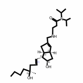 CCCC[C@](C)(O)C/C=C/[C@@H]1[C@H]2CC(CNCCC(=O)N(C(C)C)C(C)C)=C[C@H]2C[C@H]1O